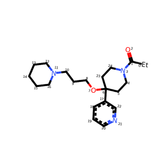 CCC(=O)N1CCC(OCCCN2CCCCC2)(c2cccnc2)CC1